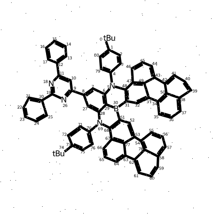 CC(C)(C)c1ccc(N2c3cc(-c4cc(-c5ccccc5)nc(-c5ccccc5)n4)cc4c3B(c3cc5c6cccc7cccc(c8cccc(c32)c85)c76)c2cc3c5cccc6cccc(c7cccc(c2N4c2ccc(C(C)(C)C)cc2)c73)c65)cc1